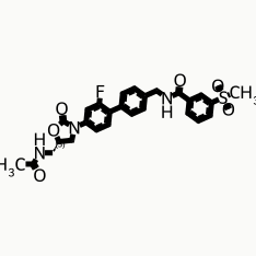 CC(=O)NC[C@H]1CN(c2ccc(-c3ccc(CNC(=O)c4cccc(S(C)(=O)=O)c4)cc3)c(F)c2)C(=O)O1